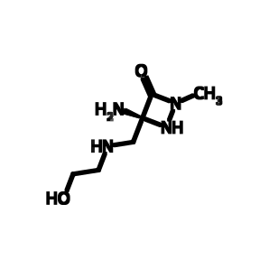 CN1N[C@](N)(CNCCO)C1=O